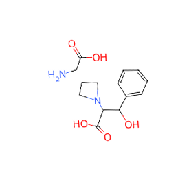 NCC(=O)O.O=C(O)C(C(O)c1ccccc1)N1CCC1